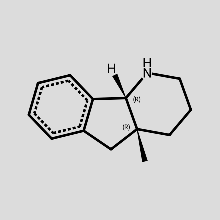 C[C@]12CCCN[C@H]1c1ccccc1C2